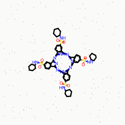 O=S(=O)(NC1CCCCC1)c1ccc2c(c1)-c1nc-2nc2[nH]c(nc3nc(nc4[nH]c(n1)c1ccc(S(=O)(=O)NC5CCCCC5)cc41)-c1ccc(S(=O)(=O)NC4CCCCC4)cc1-3)c1ccc(S(=O)(=O)NC3CCCCC3)cc21